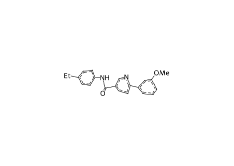 CCc1ccc(NC(=O)c2ccc(-c3cccc(OC)c3)nc2)cc1